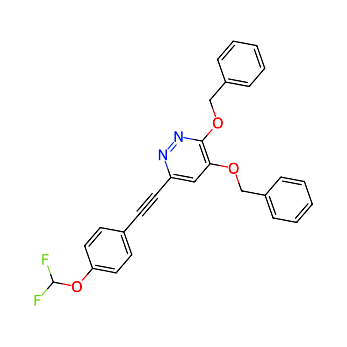 FC(F)Oc1ccc(C#Cc2cc(OCc3ccccc3)c(OCc3ccccc3)nn2)cc1